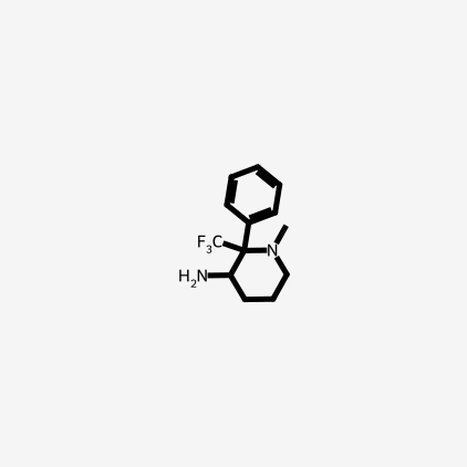 CN1CCCC(N)C1(c1ccccc1)C(F)(F)F